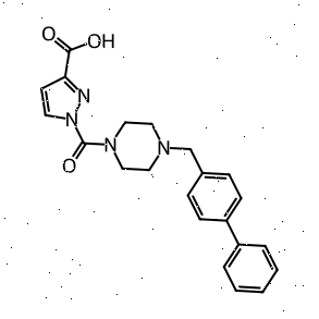 O=C(O)c1ccn(C(=O)N2CCN(Cc3ccc(-c4ccccc4)cc3)CC2)n1